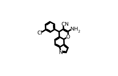 N#CC1=C(N)OC2C3=CC=NC3=CC=C2C1c1cccc(Cl)c1